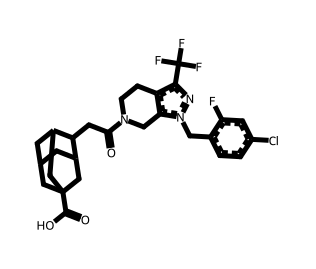 O=C(CC1C2CC3CC1CC(C(=O)O)(C3)C2)N1CCc2c(C(F)(F)F)nn(Cc3ccc(Cl)cc3F)c2C1